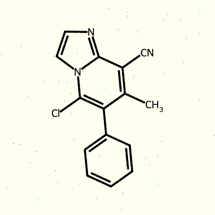 Cc1c(-c2ccccc2)c(Cl)n2ccnc2c1C#N